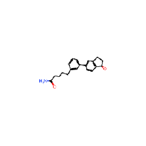 NC(=O)CCCCc1cccc(-c2ccc3c(c2)CCC3=O)c1